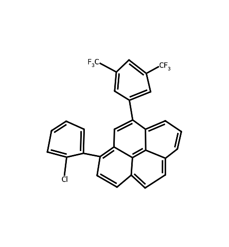 FC(F)(F)c1cc(-c2cc3c(-c4ccccc4Cl)ccc4ccc5cccc2c5c43)cc(C(F)(F)F)c1